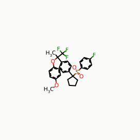 COc1ccc(OC(C)(c2ccc(C3(S(=O)(=O)c4ccc(F)cc4)CCCC3)cc2)C(F)(F)F)cc1